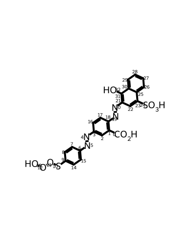 O=C(O)c1cc(/N=N/c2ccc(SOOO)cc2)ccc1/N=N/c1cc(S(=O)(=O)O)c2ccccc2c1O